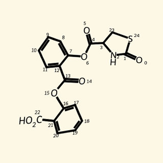 O=C1NC(C(=O)Oc2ccccc2C(=O)Oc2ccccc2C(=O)O)CS1